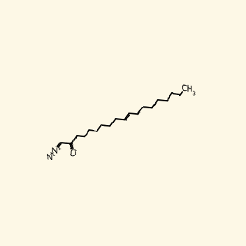 CCCCCCCCC=CCCCCCCCC(=O)C=[N+]=[N-]